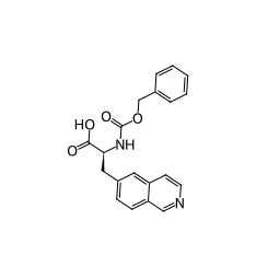 O=C(N[C@@H](Cc1ccc2cnccc2c1)C(=O)O)OCc1ccccc1